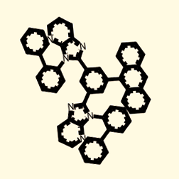 c1ccc(-c2ccccc2-n2c(-c3cc(-c4c5ccccc5cc5ccccc45)cc(-c4nc5cccnc5n4-c4ccccc4-c4ccccc4)c3)nc3cccnc32)cc1